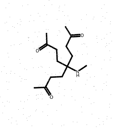 CNC(CCC(C)=O)(CCC(C)=O)CCC(C)=O